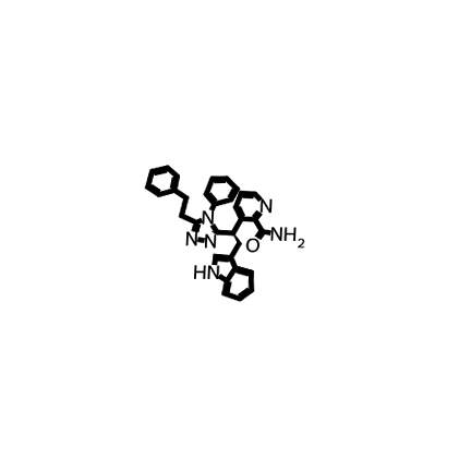 NC(=O)c1ncccc1[C@@H](Cc1c[nH]c2ccccc12)c1nnc(CCc2ccccc2)n1-c1ccccc1